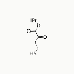 CC(C)OC(=O)C(=O)CCS